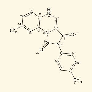 Cc1ccc(-n2c(=O)c3c[nH]c4ccc(Cl)cc4n-3c2=O)cc1